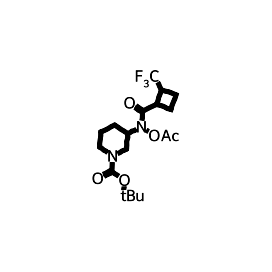 CC(=O)ON(C(=O)C1CCC1C(F)(F)F)C1CCCN(C(=O)OC(C)(C)C)C1